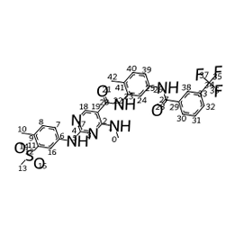 CNc1nc(Nc2ccc(C)c(S(C)(=O)=O)c2)ncc1C(=O)Nc1cc(NC(=O)c2cccc(C(F)(F)F)c2)ccc1C